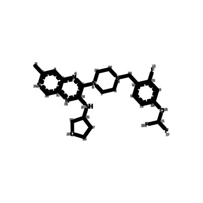 Cc1cc2nc(N3CCN(Cc4ccc(OC(F)F)cc4F)CC3)c(NC3CCOC3)nc2cn1